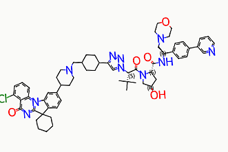 CC(C)(C)[C@@H](C(=O)N1C[C@H](O)C[C@H]1C(=O)N[C@@H](CN1CCOCC1)c1ccc(-c2cccnc2)cc1)n1cc(C2CCC(CN3CCC(c4ccc5c(c4)-n4c(nc(=O)c6c(Cl)cccc64)C54CCCCC4)CC3)CC2)nn1